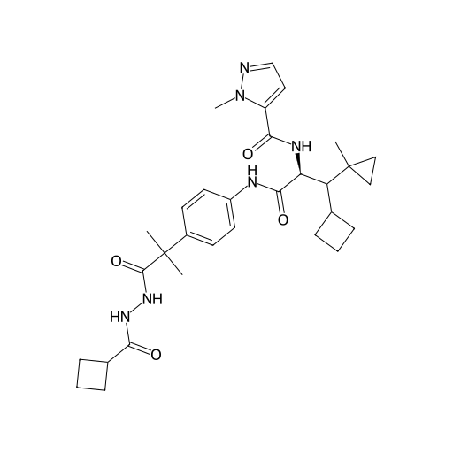 Cn1nccc1C(=O)N[C@H](C(=O)Nc1ccc(C(C)(C)C(=O)NNC(=O)C2CCC2)cc1)C(C1CCC1)C1(C)CC1